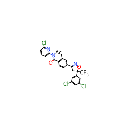 CC(=O)N(C(=O)c1ccc(C2=NOC(c3cc(Cl)cc(Cl)c3)(C(F)(F)F)C2)cc1C)c1cccc(Cl)n1